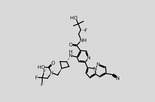 CC(C)(O)[C@H](F)CNC(=O)c1cnc(-c2ccc3cc(C#N)cnn23)cc1N[C@H]1C[C@H](CN(CC(F)(F)F)C(=O)O)C1